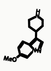 COc1ccc2c(C3CCNCC3)cnn2c1